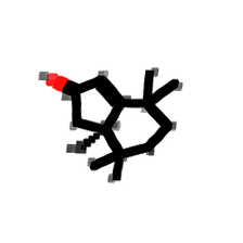 CC1(C)CCC(C)(C)[C@H]2CC(=O)C=C21